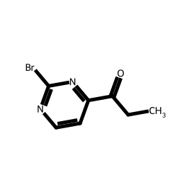 CCC(=O)c1ccnc(Br)n1